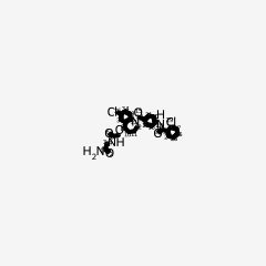 NC(=O)CNC(=O)COC1CCCN(C(=O)c2ccc(NC(=O)c3ccccc3Cl)cc2)c2ccc(Cl)cc21